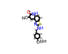 COc1ccc(CNc2nc3c(ccc4[nH]c(=O)c(C#N)cc43)s2)cc1